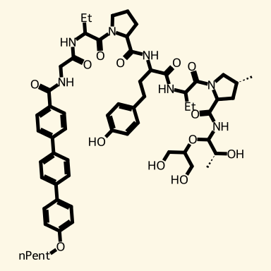 CCCCCOc1ccc(-c2ccc(-c3ccc(C(=O)NCC(=O)NC(CC)C(=O)N4CCCC4C(=O)NC(CCc4ccc(O)cc4)C(=O)NC(CC)C(=O)N4C[C@H](C)CC4C(=O)NC(OC(CO)CO)[C@@H](C)O)cc3)cc2)cc1